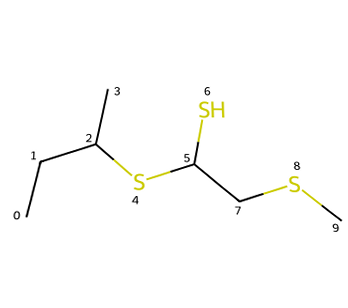 CCC(C)SC(S)CSC